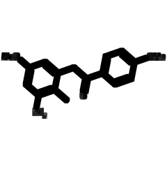 Bc1cc(OC)cc(CC(=O)c2ccc(OC)cc2)c1C